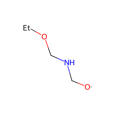 CCOCNC[O]